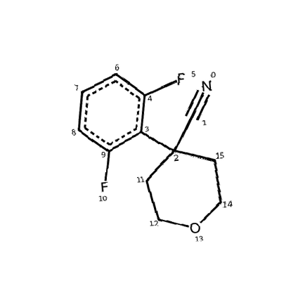 N#CC1(c2c(F)cccc2F)CCOCC1